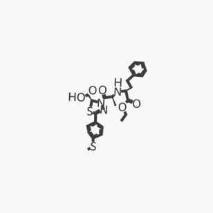 CCOC(=O)[C@H](CCc1ccccc1)N[C@@H](C)C(=O)N1N=C(c2ccc(SC)cc2)S[C@H]1C(=O)O